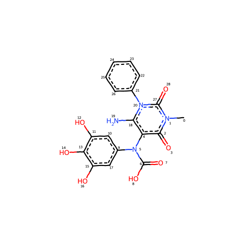 Cn1c(=O)c(N(C(=O)O)c2cc(O)c(O)c(O)c2)c(N)n(-c2ccccc2)c1=O